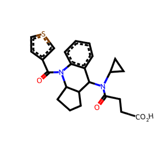 O=C(O)CCC(=O)N(C1CC1)C1c2ccccc2N(C(=O)c2ccsc2)C2CCCC21